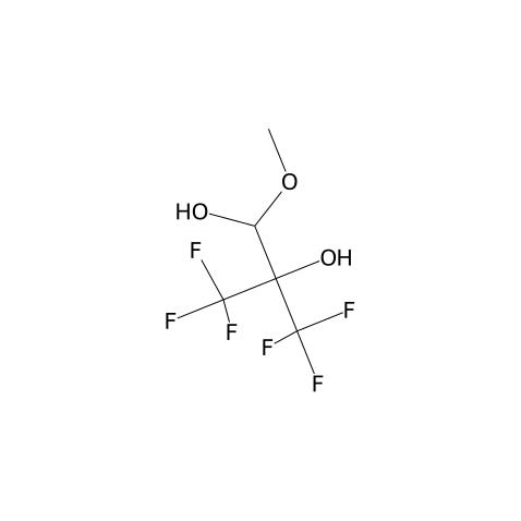 COC(O)C(O)(C(F)(F)F)C(F)(F)F